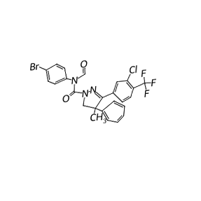 CC1(c2ccccc2)CN(C(=O)N(C=O)c2ccc(Br)cc2)N=C1c1ccc(C(F)(F)F)c(Cl)c1